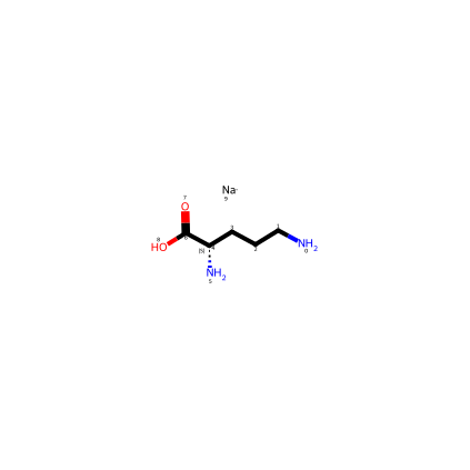 NCCC[C@H](N)C(=O)O.[Na]